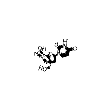 [N-]=[N+]=N[C@]1(CO)C[C@H](n2ccc(=O)[nH]c2=O)O[C@@H]1CO